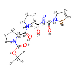 CC(C)(C)OC(=O)N1CCC[C@H]1C(=O)N1CCC[C@H]1C(=O)NC(=O)N1CC=CS1